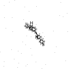 Fc1ccc(-c2ccc(C#Cc3ccc4[nH]c(N5CCCC5)nc4c3)nc2)cc1